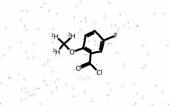 [2H]C([2H])([2H])Oc1ccc(F)cc1C(=O)Cl